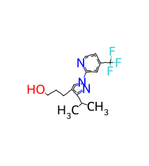 CC(C)c1nn(-c2cc(C(F)(F)F)ccn2)cc1CCCO